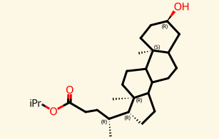 CC(C)OC(=O)CC[C@@H](C)[C@H]1CCC2C3CCC4C[C@H](O)CC[C@]4(C)C3CC[C@@]21C